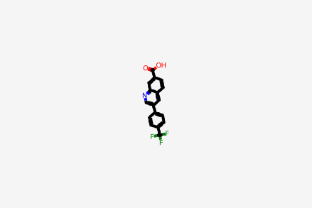 O=C(O)c1ccc2cc(-c3ccc(C(F)(F)F)cc3)cnc2c1